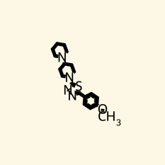 COc1ccc(-c2nnc(N3CCC(N4CCCCC4)CC3)s2)cc1